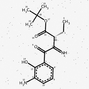 CC[C@H](C(=N)C(=O)c1cccc(N)c1O)C(=O)OC(C)(C)C